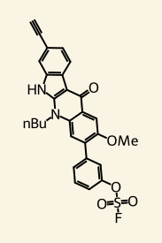 C#Cc1ccc2c(c1)[nH]c1c2c(=O)c2cc(OC)c(-c3cccc(OS(=O)(=O)F)c3)cc2n1CCCC